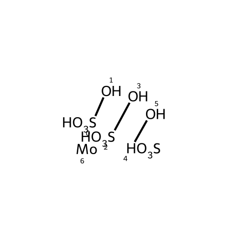 O=S(=O)(O)O.O=S(=O)(O)O.O=S(=O)(O)O.[Mo]